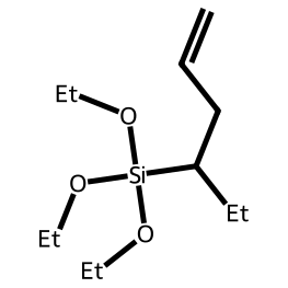 C=CCC(CC)[Si](OCC)(OCC)OCC